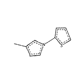 Cc1ccn(-c2cccs2)c1